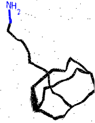 NCCCC12CC3CC(CC(C3)C1)C2